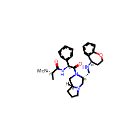 CN[C@@H](C)C(=O)N[C@H](C(=O)N1C[C@H]2CCCN2C[C@H]1CN[C@@H]1CCOc2ccccc21)c1ccccc1